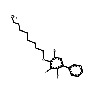 CCCCCCCCCOc1c(Br)cc(-c2ccccc2)c(F)c1F